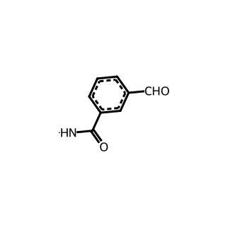 [NH]C(=O)c1cccc(C=O)c1